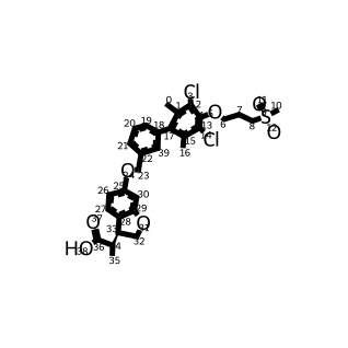 Cc1c(Cl)c(OCCCS(C)(=O)=O)c(Cl)c(C)c1-c1cccc(COc2ccc3c(c2)OC[C@H]3C(C)C(=O)O)c1